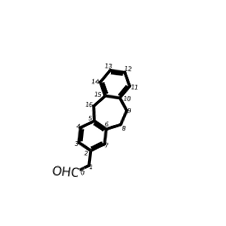 O=CCc1ccc2c(c1)CCc1ccccc1C2